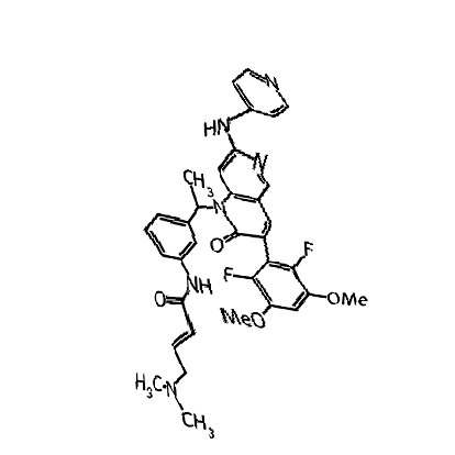 COc1cc(OC)c(F)c(-c2cc3cnc(Nc4ccncc4)cc3n(C(C)c3cccc(NC(=O)/C=C/CN(C)C)c3)c2=O)c1F